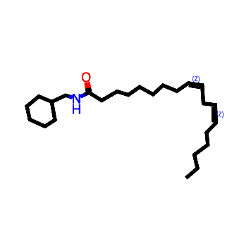 CCCCC/C=C\C/C=C\CCCCCCCC(=O)NCC1CCCCC1